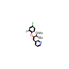 COC(/C(=C\c1cccnc1)Oc1ccc(F)cc1F)C(C)(C)C